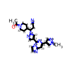 CC(=O)N1CCC(C(CC#N)n2cc(-c3nc(-c4cnn(C)c4)cc4nccn34)cn2)CC1